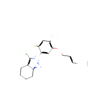 CC=CCOc1cc(-n2nc3c(c2Cl)CCCC3)c(F)cc1Cl